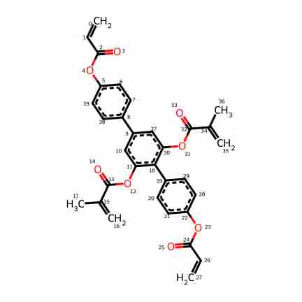 C=CC(=O)Oc1ccc(-c2cc(OC(=O)C(=C)C)c(-c3ccc(OC(=O)C=C)cc3)c(OC(=O)C(=C)C)c2)cc1